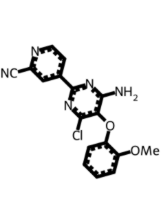 COc1ccccc1Oc1c(N)nc(-c2ccnc(C#N)c2)nc1Cl